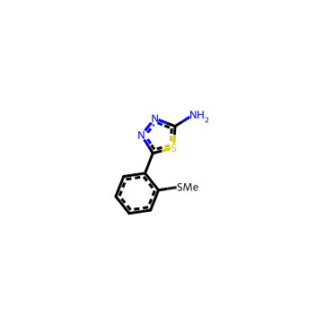 CSc1ccccc1-c1nnc(N)s1